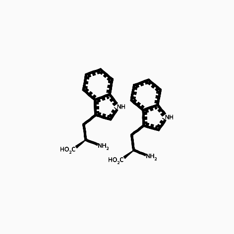 N[C@H](Cc1c[nH]c2ccccc12)C(=O)O.N[C@H](Cc1c[nH]c2ccccc12)C(=O)O